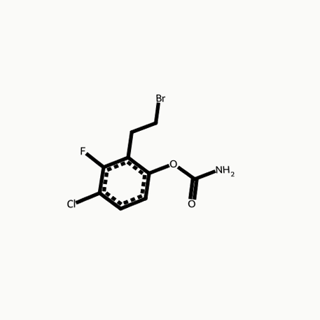 NC(=O)Oc1ccc(Cl)c(F)c1CCBr